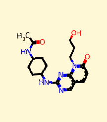 CC(=O)NC1CCC(Nc2ncc3ccc(=O)n(CCCO)c3n2)CC1